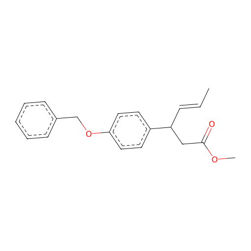 C/C=C/C(CC(=O)OC)c1ccc(OCc2ccccc2)cc1